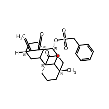 C=C1C(=O)[C@]23CC[C@H]1CC2[C@@]12CCC[C@@](C)(COC1=O)C2C[C@H]3OS(=O)(=O)Cc1ccccc1